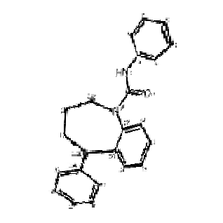 O=C(Nc1ccccc1)N1CCCC(c2ccccc2)c2ccccc21